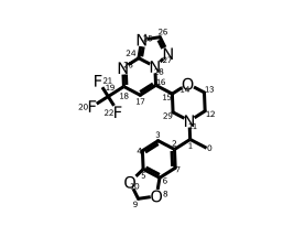 CC(c1ccc2c(c1)OCO2)N1CCOC(c2cc(C(F)(F)F)nc3ncnn23)C1